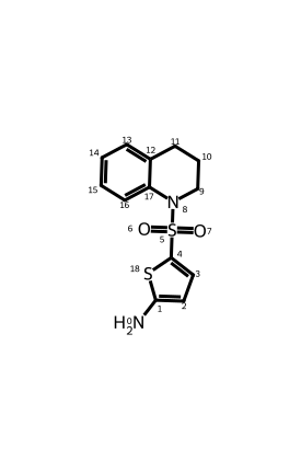 Nc1ccc(S(=O)(=O)N2CCCc3ccccc32)s1